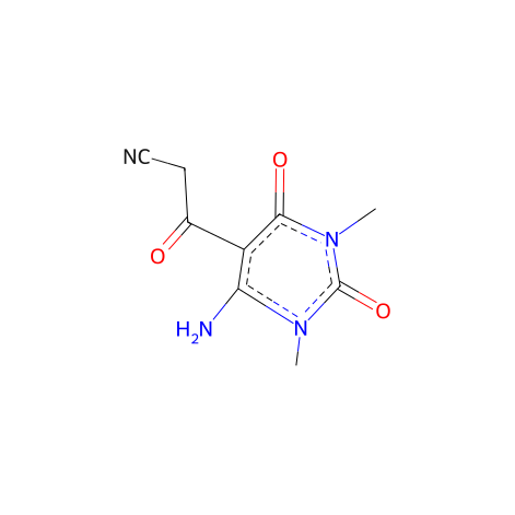 Cn1c(N)c(C(=O)CC#N)c(=O)n(C)c1=O